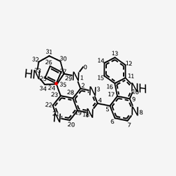 CN(c1nc(-c2ccnc3[nH]c4ccccc4c23)nc2cncc(C3=CC=C3)c12)C1CCCNCC1